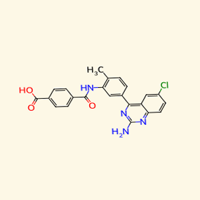 Cc1ccc(-c2nc(N)nc3ccc(Cl)cc23)cc1NC(=O)c1ccc(C(=O)O)cc1